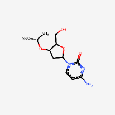 CO[C@H](C)OC1CC(n2ccc(N)nc2=O)OC1CO